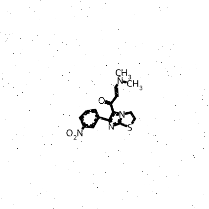 CN(C)C=CC(=O)c1c(-c2cccc([N+](=O)[O-])c2)nc2n1CCS2